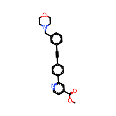 COC(=O)c1ccnc(-c2ccc(C#Cc3cccc(CN4CCOCC4)c3)cc2)c1